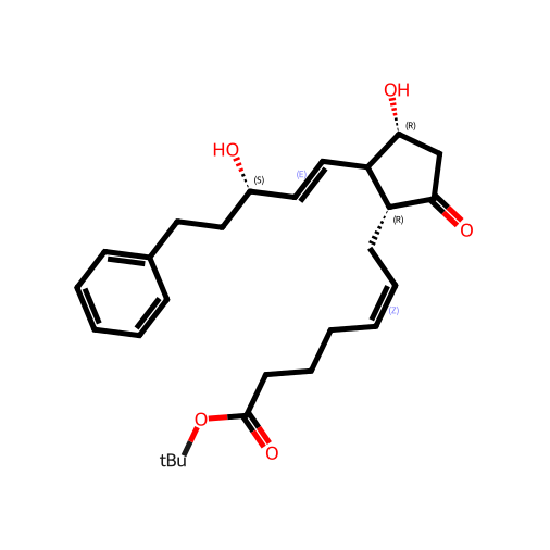 CC(C)(C)OC(=O)CCC/C=C\C[C@H]1C(=O)C[C@@H](O)C1/C=C/[C@@H](O)CCc1ccccc1